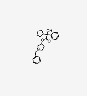 O=C(OC1CCN(Cc2ccccc2)C1)C(O)(c1ccccc1)C1CCCC1